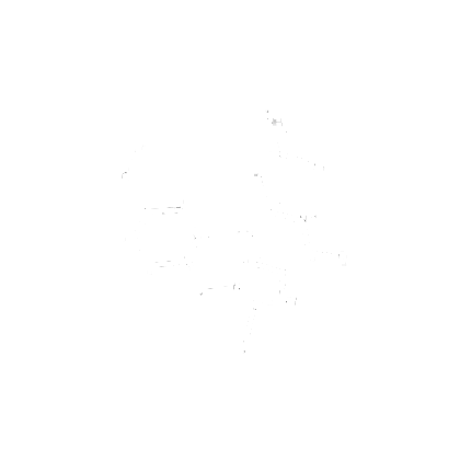 COc1ccc(Cn2c(=O)[nH]c3c(Cl)nc(CC(N)=O)nc32)cc1